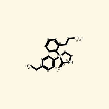 NCc1ccc([N+]2(c3ccccc3CCC(=O)O)CCNC2=O)cc1